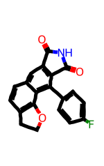 O=C1NC(=O)c2c1cc1ccc3c(c1c2-c1ccc(F)cc1)OCC3